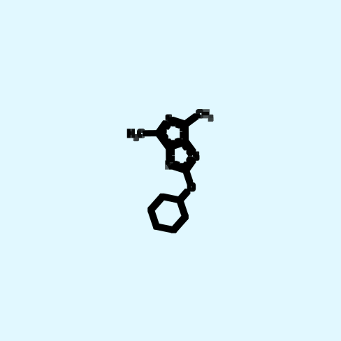 Cc1sc(C)c2sc(OC3CCCCC3)nc12